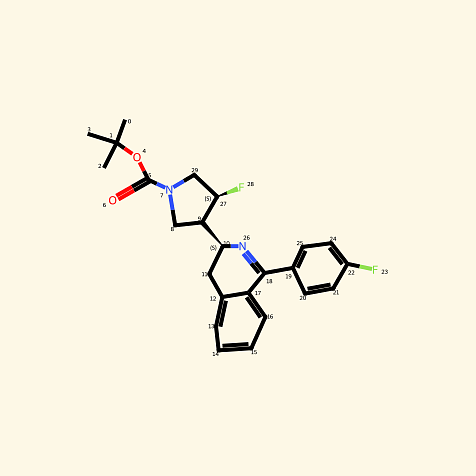 CC(C)(C)OC(=O)N1CC([C@@H]2Cc3ccccc3C(c3ccc(F)cc3)=N2)[C@H](F)C1